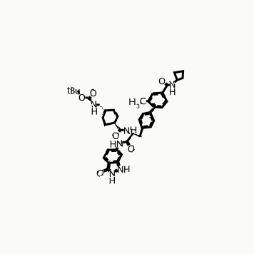 Cc1cc(C(=O)NC2CCC2)ccc1-c1ccc(C[C@H](NC(=O)[C@H]2CC[C@H](CNC(=O)OC(C)(C)C)CC2)C(=O)Nc2ccc3c(=O)[nH][nH]c3c2)cc1